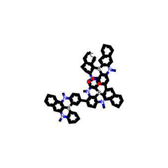 CN1c2cc3ccccc3cc2B2c3c1cc(-c1cc4ccccc4c4c1B1c5ccccc5N(C)c5c(-c6ccc7c(c6)B6c8ccccc8N(C)c8cc9ccccc9c(c86)N7C)ccc(c51)N4C)cc3N(C)c1ccc3ccccc3c12